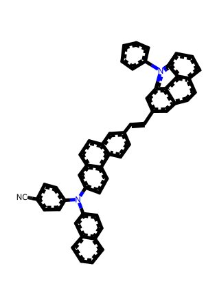 N#Cc1ccc(N(c2ccc3ccccc3c2)c2ccc3c(ccc4cc(/C=C/c5cc6ccc7cccc8c7c6c(c5)n8-c5ccccc5)ccc43)c2)cc1